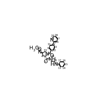 CON=C1C[C@@H](C(=O)NCCNc2ccccc2)N(C(=O)c2ccc(-c3ccccn3)cc2)C1